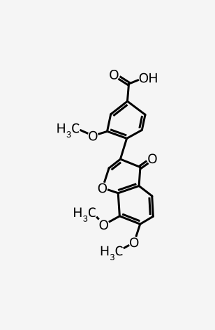 COc1cc(C(=O)O)ccc1-c1coc2c(OC)c(OC)ccc2c1=O